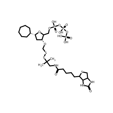 CC(C)(CNC(=O)CCCCC1SCC2NC(=O)NC21)SSCO[C@@H]1C[C@H](C2CCCCCC2)OC1COP(=O)(O)OP(=O)(O)OP(=O)(O)O